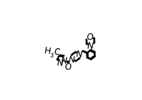 Cc1cnn(C(=O)N2CCN(Cc3ccccc3N3CCOCC3)CC2)c1